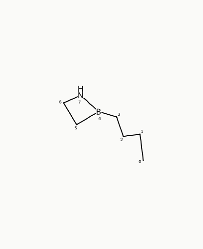 CCCCB1CCN1